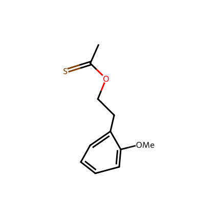 COc1ccccc1CCOC(C)=S